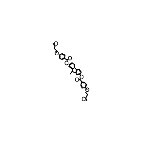 CC1c2cc(OC(=O)c3ccc(OCCC4CO4)cc3)ccc2-c2ccc(OC(=O)c3ccc(OCCC4CO4)cc3)cc21